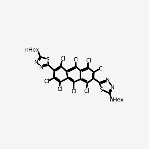 CCCCCCc1nnc(-c2c(Cl)c(Cl)c3c(Cl)c4c(Cl)c(-c5nnc(CCCCCC)s5)c(Cl)c(Cl)c4c(Cl)c3c2Cl)s1